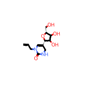 C=CCN1C=C([C@@H]2O[C@H](CO)C(O)C2O)CNC1=O